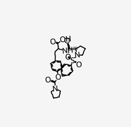 O=C(O)C(Cc1ccc(OC(=O)N2CCCC2)cc1)NC(=O)[C@H]1CCCN1S(=O)(=O)c1ccccc1